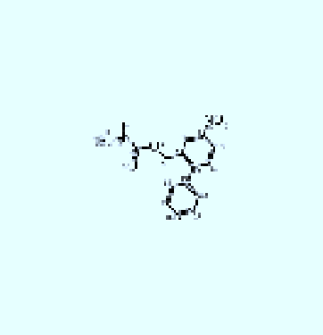 CC(C)(C)NC(=O)OCc1cc([N+](=O)[O-])ccc1-c1ccncc1